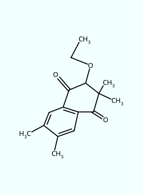 CCOC1C(=O)c2cc(C)c(C)cc2C(=O)C1(C)C